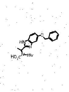 CC(c1nc2cc(OCc3ccccc3)ccc2[nH]1)N(C(=O)O)C(C)(C)C